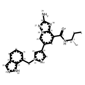 CC[C@H](C)NC(=O)c1cc(-c2cnn(Cc3cccc4cn[nH]c34)c2)cn2nc(N)nc12